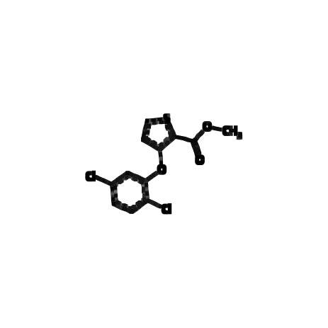 COC(=O)c1sccc1Oc1cc(Cl)ccc1Cl